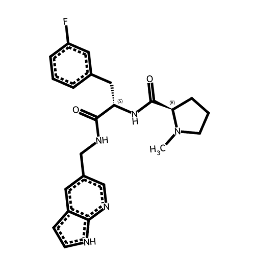 CN1CCC[C@@H]1C(=O)N[C@@H](Cc1cccc(F)c1)C(=O)NCc1cnc2[nH]ccc2c1